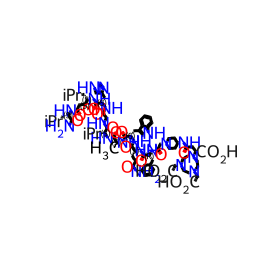 CC(C)C[C@H](NC(=O)C[C@H](O)[C@H](CC(C)C)NC(=O)[C@H](Cc1c[nH]cn1)NC(=O)CNC(=O)[C@@H](NC(=O)[C@H](C)NC(=O)[C@H](Cc1c[nH]c2ccccc12)NC(=O)[C@H](CCC(N)=O)NC(=O)[C@@H](Cc1ccccc1)NC(=O)CN1CCC(NC(=O)CC(C(=O)O)N2CCN(CC(=O)O)CCN(CC(=O)O)CC2)CC1)C(C)C)C(N)=O